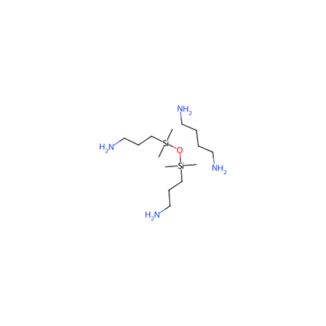 C[Si](C)(CCCN)O[Si](C)(C)CCCN.NCCCCN